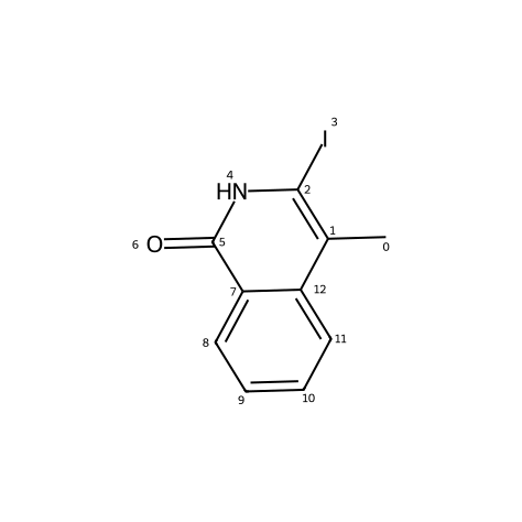 Cc1c(I)[nH]c(=O)c2ccccc12